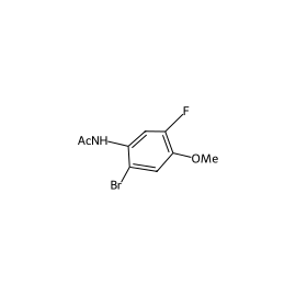 COc1cc(Br)c(NC(C)=O)cc1F